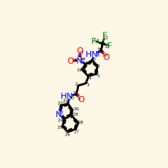 O=C(CCc1ccc(NC(=O)C(F)(F)F)c([N+](=O)[O-])c1)Nc1cnc2ccccc2c1